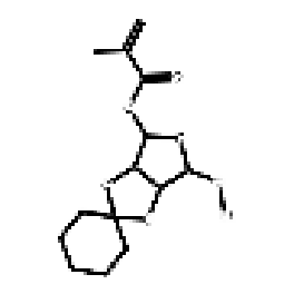 C=C(C)C(=O)OC1OC(OCC)C2OC3(CCCCC3)OC12